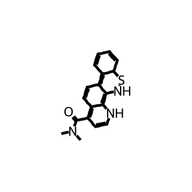 CN(C)C(=O)C1=c2ccc3c(c2NC=C1)NSC1C=CC=CC=31